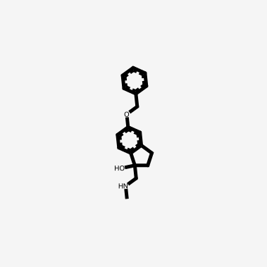 CNCC1(O)CCc2cc(OCc3ccccc3)ccc21